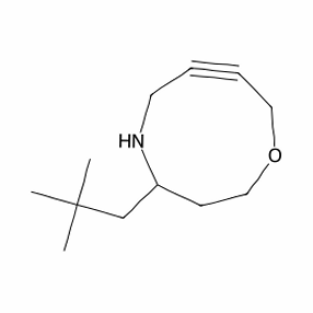 CC(C)(C)CC1CCOCC#CCN1